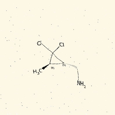 C[C@@H]1[C@@H](CN)C1(Cl)Cl